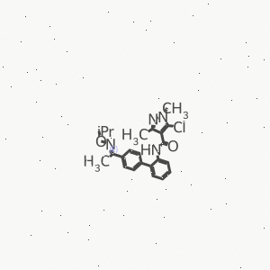 C/C(=N\OC(C)C)c1ccc(-c2ccccc2NC(=O)c2c(C)nn(C)c2Cl)cc1